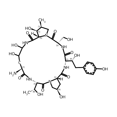 C[C@@H](O)[C@@H]1NC(=O)[C@@H](N)CC(O)C(O)NC(=O)[C@@H]2[C@@H](O)[C@@H](C)CN2C(=O)[C@H](CO)NC(=O)[C@H]([C@H](O)Cc2ccc(O)cc2)NC(=O)[C@@H]2C[C@@H](O)CN2C1=O